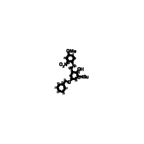 COc1ccc(/N=N/c2cc(OCc3ccccc3)cc(C(C)(C)C)c2O)c([N+](=O)[O-])c1